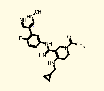 CN/C=C(\C=N)c1cc(NC(=N)C2=C(NCC3CC3)CCN(C(C)=O)C2)ccc1F